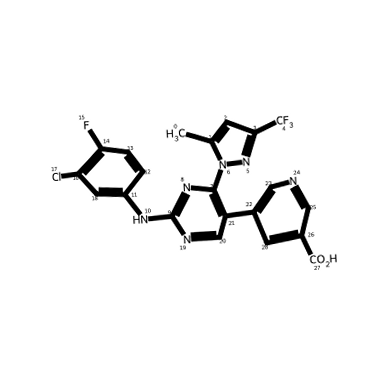 Cc1cc(C(F)(F)F)nn1-c1nc(Nc2ccc(F)c(Cl)c2)ncc1-c1cncc(C(=O)O)c1